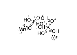 O.O=P(O)(O)O.O=P(O)(O)O.[Mn].[Mn].[Mn]